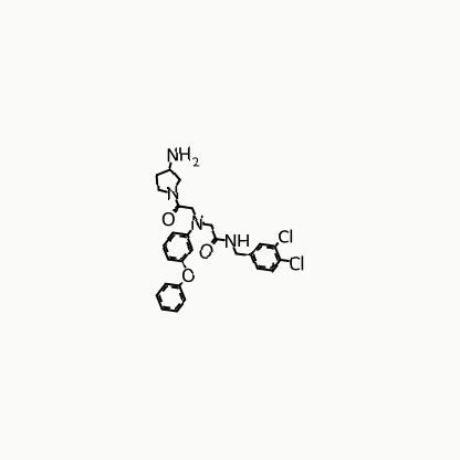 NC1CCN(C(=O)CN(CC(=O)NCc2ccc(Cl)c(Cl)c2)c2cccc(Oc3ccccc3)c2)C1